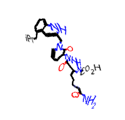 CC(C)Cc1cccc2[nH]c(Cn3cccc(NC(=O)C(CC/C=C/C(N)=O)NC(=O)O)c3=O)cc12